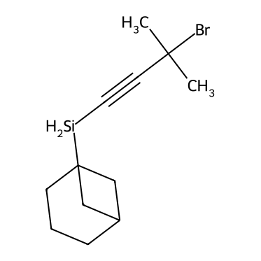 CC(C)(Br)C#C[SiH2]C12CCCC(C1)C2